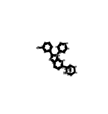 Fc1cccc(-c2nc3ccc(N4CC5CCC4CN5)nc3n2-c2ccncc2)c1